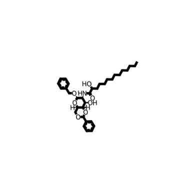 CCCCCCCCCCCCC(O)C(=O)N[C@H]1[C@@H](OCc2ccccc2)O[C@@H]2COC(c3ccccc3)O[C@H]2[C@@H]1O